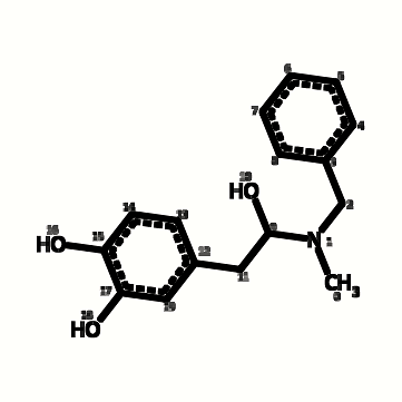 CN(Cc1ccccc1)C(O)Cc1ccc(O)c(O)c1